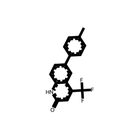 Cc1ccc(-c2ccc3[nH]c(=O)cc(C(F)(F)F)c3c2)cc1